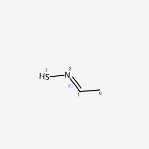 C/C=N/S